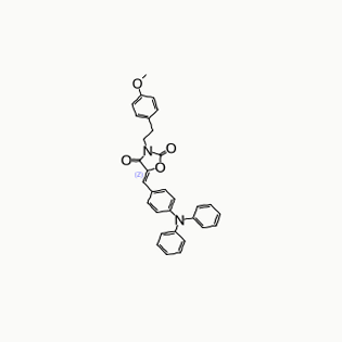 COc1ccc(CCN2C(=O)O/C(=C\c3ccc(N(c4ccccc4)c4ccccc4)cc3)C2=O)cc1